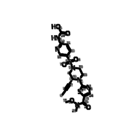 CC#C[C@H]1CN(S(=O)(=O)c2ccc(NC(=O)O)nc2)CCN1c1ncc(C(=O)N(C)OC)s1